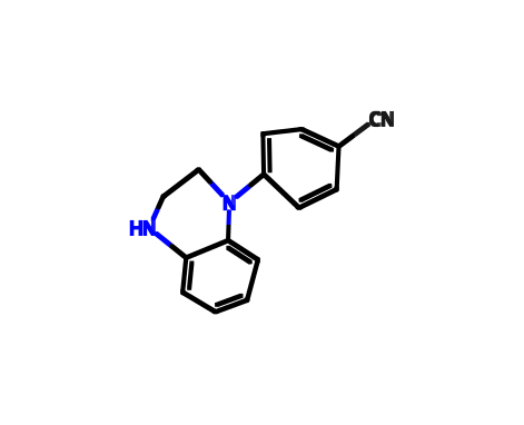 N#Cc1ccc(N2CCNc3ccccc32)cc1